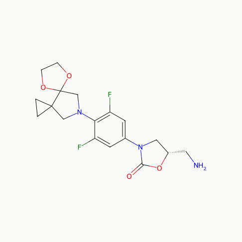 NC[C@H]1CN(c2cc(F)c(N3CC4(CC4)C4(C3)OCCO4)c(F)c2)C(=O)O1